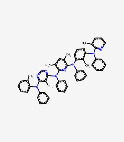 Cc1ccccc1N(c1ccccc1)c1ncnc(N(c2ccccc2)c2nc(N(c3ccccc3)c3cccc(N(c4ccccc4)c4ncccc4C)c3C)c(C)cc2C)c1C